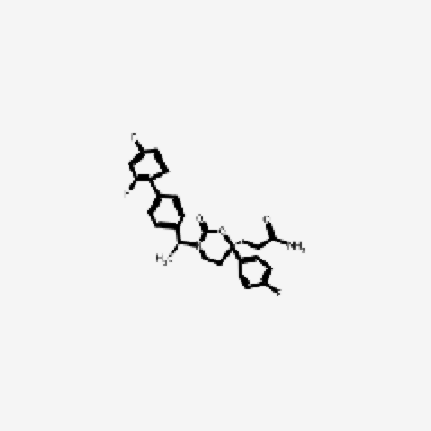 C[C@@H](c1ccc(-c2ccc(F)cc2F)cc1)N1CC[C@](CCC(N)=O)(c2ccc(F)cc2)OC1=O